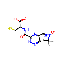 CC(C)(C)/[N+]([O-])=C\c1cnnc(C(=O)NC(CS)C(=O)O)n1